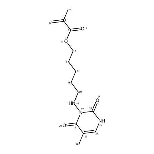 C=C(C)C(=O)OCCCCCNn1c(=O)[nH]cc(C)c1=O